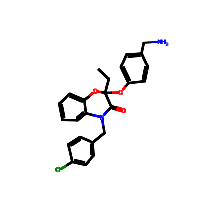 CCC1(Oc2ccc(CN)cc2)Oc2ccccc2N(Cc2ccc(Cl)cc2)C1=O